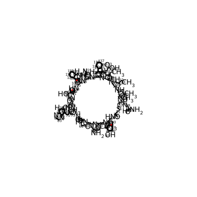 CCCC[C@H]1C(=O)N(C)[C@@H](CCCC)C(=O)N[C@@H](CC(C)C)C(=O)N[C@H](C(=O)NCC(N)=O)CSCC(=O)N[C@@H](Cc2ccc(O)cc2)C(=O)N(C)[C@@H](C)C(=O)N[C@@H](CC(N)=O)C(=O)N2CCC[C@H]2C(=O)N[C@@H](CNCc2cccc3nccnc23)C(=O)N[C@@H](CC(C)C)C(=O)N2C[C@H](O)C[C@H]2C(=O)N[C@@H](Cc2c[nH]c3ccccc23)C(=O)N[C@@H](CCN)C(=O)N[C@@H](Cc2cn(CC(=O)O)c3ccccc23)C(=O)N1C